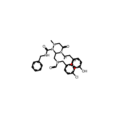 C[C@H](Cc1ccc(O)cc1)N1C(=O)CN(C)N(C(=O)NCc2ccccc2)C1CN(C=O)Cc1ccc(Cl)cc1Cl